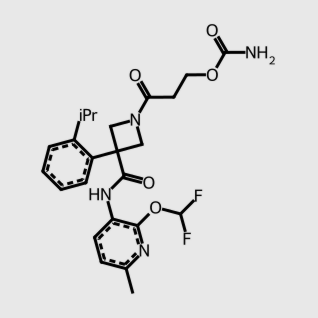 Cc1ccc(NC(=O)C2(c3ccccc3C(C)C)CN(C(=O)CCOC(N)=O)C2)c(OC(F)F)n1